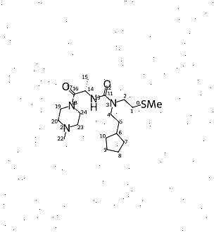 CSCCN(CCC1CCCC1)C(=O)N[C@@H](C)C(=O)N1CCN(C)CC1